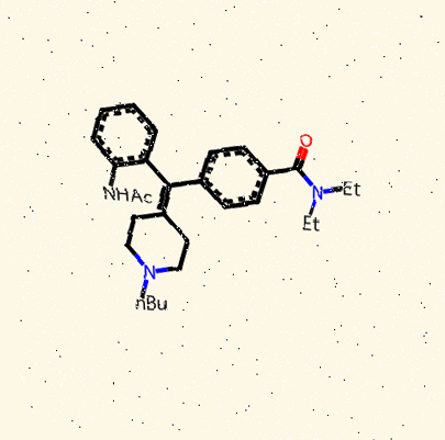 CCCCN1CCC(=C(c2ccc(C(=O)N(CC)CC)cc2)c2ccccc2NC(C)=O)CC1